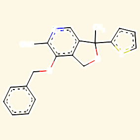 CC1(c2cccs2)OCc2c1cnc(C=O)c2OCc1ccccc1